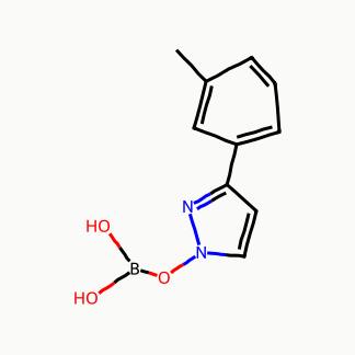 Cc1cccc(-c2ccn(OB(O)O)n2)c1